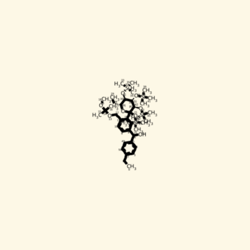 CCc1ccc(C(O)c2ccc(COC(C)(C)OC)c(C3(O[Si](C)(C)C)O[C@H](CC)[C@@H](O[Si](C)(C)C)[C@H](O[Si](C)(C)C)[C@H]3O[Si](C)(C)C)c2)cc1